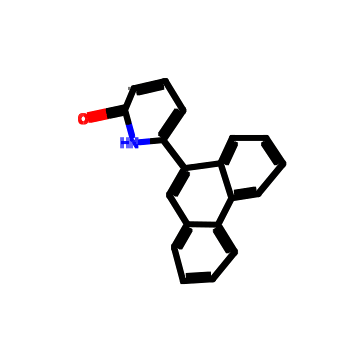 O=c1[c]ccc(-c2cc3ccccc3c3ccccc23)[nH]1